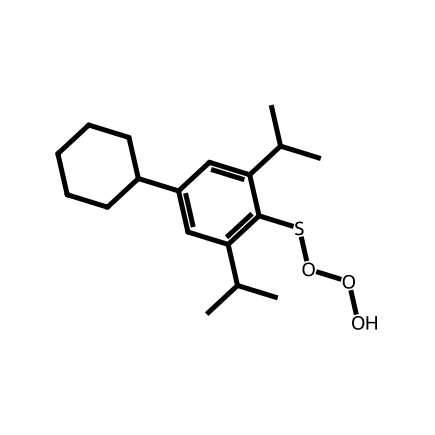 CC(C)c1cc(C2CCCCC2)cc(C(C)C)c1SOOO